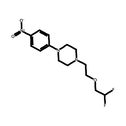 O=[N+]([O-])c1ccc(N2CCN(CCOCC(F)F)CC2)cc1